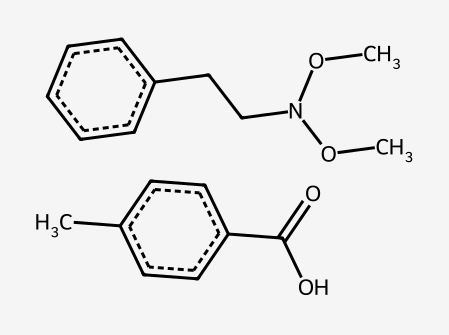 CON(CCc1ccccc1)OC.Cc1ccc(C(=O)O)cc1